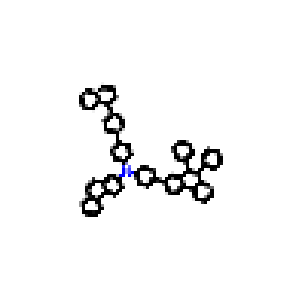 c1ccc(-c2c(-c3ccccc3)c3cc(-c4ccc(N(c5ccc(-c6ccc(-c7cccc8ccccc78)cc6)cc5)c5ccc6c(ccc7ccccc76)c5)cc4)ccc3c3ccccc23)cc1